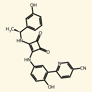 C[C@H](Nc1c(Nc2ccc(O)c(-c3ccc(C#N)cn3)c2)c(=O)c1=O)c1cccc(O)c1